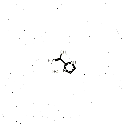 C=C(C)c1ncc[nH]1.Cl